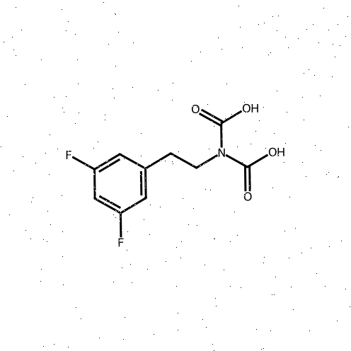 O=C(O)N(CCc1cc(F)cc(F)c1)C(=O)O